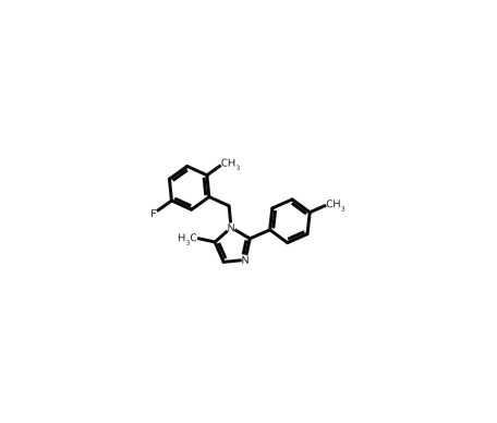 Cc1ccc(-c2ncc(C)n2Cc2cc(F)ccc2C)cc1